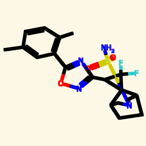 Cc1ccc(C)c(-c2nc(C3C(F)(F)C34C3CCC4CN(S(N)(=O)=O)C3)no2)c1